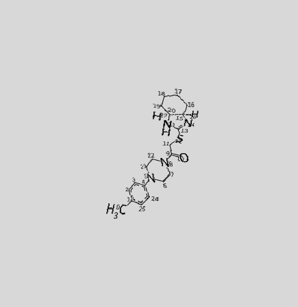 Cc1ccc(N2CCN(C(=O)CSC3=N[C@H]4CCCC[C@@H]4N3)CC2)cc1